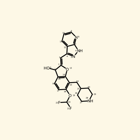 OC1/C(=C/c2n[nH]c3ncccc23)Oc2c1ccc(OC(F)F)c2CC1CCNCC1